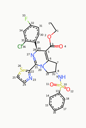 CCOC(=O)C1=C2C[C@H](NS(=O)(=O)c3ccccc3)CN2C(c2nccs2)=N[C@H]1c1ccc(F)cc1Cl